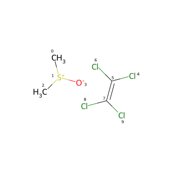 C[S+](C)[O-].ClC(Cl)=C(Cl)Cl